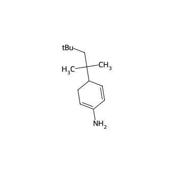 CC(C)(C)CC(C)(C)C1C=CC(N)=CC1